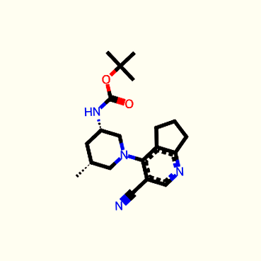 C[C@@H]1C[C@H](NC(=O)OC(C)(C)C)CN(c2c(C#N)cnc3c2CCC3)C1